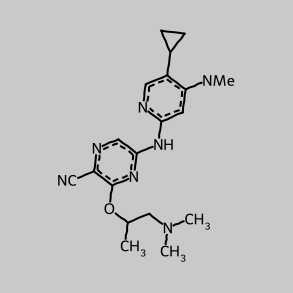 CNc1cc(Nc2cnc(C#N)c(OC(C)CN(C)C)n2)ncc1C1CC1